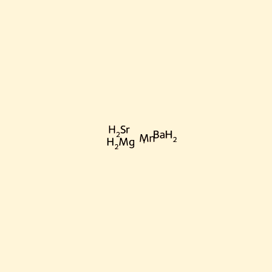 [BaH2].[MgH2].[Mn].[SrH2]